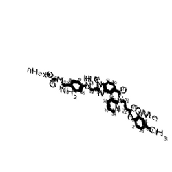 CCCCCCOC(=O)/N=C(\N)c1ccc(NCc2nc3cc(C(=O)N(CCC(=O)Oc4ccc(C)cc4OC)c4ccccn4)ccc3n2C)cc1